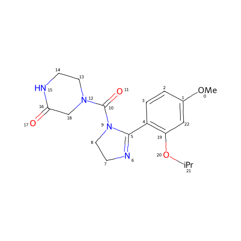 COc1ccc(C2=NCCN2C(=O)N2CCNC(=O)C2)c(OC(C)C)c1